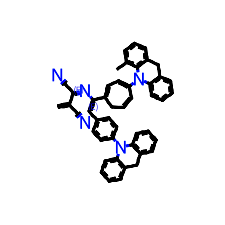 C=C(C#N)/C(C#N)=N\C(=C\c1ccc(N2c3ccccc3Cc3ccccc32)cc1)C1=CC=C(N2c3ccccc3Cc3cccc(C)c32)C=CC1